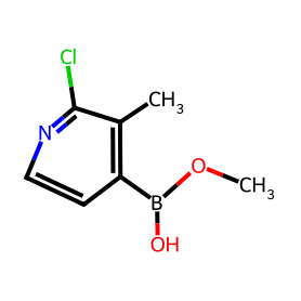 COB(O)c1ccnc(Cl)c1C